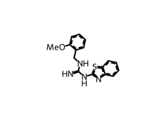 COc1ccccc1CNC(=N)Nc1nc2ccccc2s1